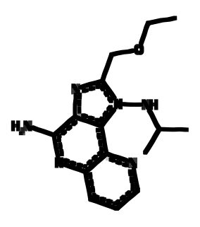 CCOCc1nc2c(N)nc3cccnc3c2n1NC(C)C